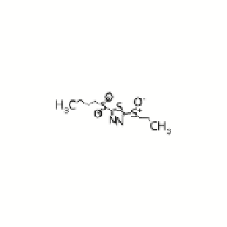 CCCCS(=O)(=O)c1nnc([S+]([O-])CCC)s1